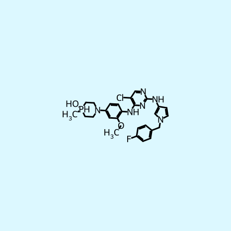 COc1cc(N2CC[PH](C)(O)CC2)ccc1Nc1nc(Nc2ccn(Cc3ccc(F)cc3)c2)ncc1Cl